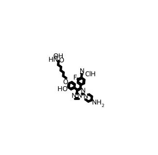 Cl.N#Cc1ccc(-c2nc(N3CCC(N)CC3)n3ccnc3c2-c2ccc(OCCCCCCC(=O)NO)c(O)c2)cc1F